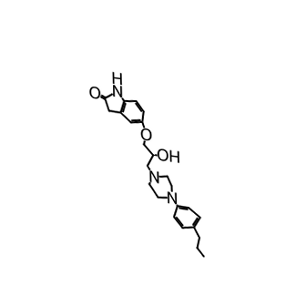 CCCc1ccc(N2CCN(C[C@H](O)COc3ccc4c(c3)CC(=O)N4)CC2)cc1